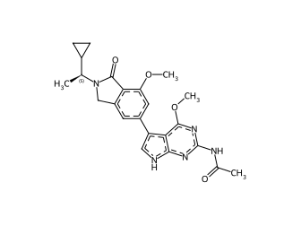 COc1cc(-c2c[nH]c3nc(NC(C)=O)nc(OC)c23)cc2c1C(=O)N([C@@H](C)C1CC1)C2